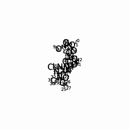 CCOC(=O)C(CCOC)(OC[C@H]1O[C@@H](n2ncc3c(N(C(=O)OC(C)(C)C)C4CCCC4)nc(Cl)nc32)[C@@H]2OC(C)(C)O[C@@H]21)P(C)(C)=O